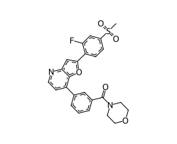 CS(=O)(=O)c1ccc(-c2cc3nccc(-c4cccc(C(=O)N5CCOCC5)c4)c3o2)c(F)c1